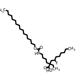 CCCCCCCCCCCCCCCCOC(=O)NCCCCC(CC)(CC(F)CCCCCC)C(=O)O